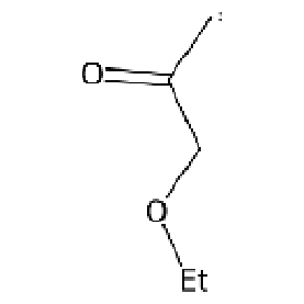 [CH]C(=O)COCC